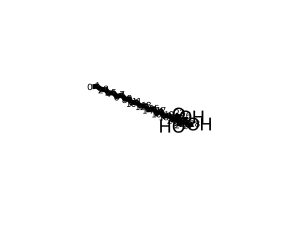 CCCCCCCCCCCCCCCCCCCCCC(=O)C(O)C(O)CO